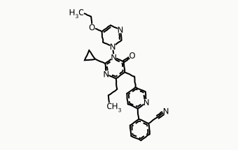 CCCc1nc(C2CC2)n(N2C=NC=C(OCC)C2)c(=O)c1Cc1ccc(-c2ccccc2C#N)nc1